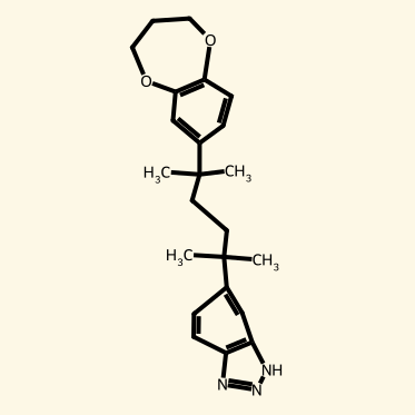 CC(C)(CCC(C)(C)c1ccc2nn[nH]c2c1)c1ccc2c(c1)OCCCO2